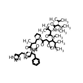 CC[C@H](C)C(C(CC(=O)N1CCC[C@H]1[C@H](OC)[C@@H](C)C(=O)N[C@@](C=O)(CNCc1c[nH]nn1)Cc1ccccc1)OC)N(C)C(=O)[C@@H](NC(=O)[C@H](C(C)C)N(C)C)C(C)C